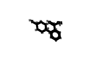 O=C(O)c1ccccc1N1CCC(F)CC1